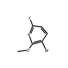 COc1nc(F)ccc1Br